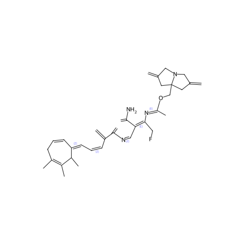 C=C1CN2CC(=C)CC2(CO/C(C)=N/C(CF)=C(/C=N\C(=C)C(=C)/C=C\C=C2\C=CCC(C)=C(C)C2C)C(=C)N)C1